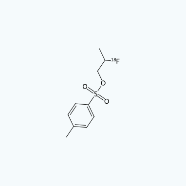 Cc1ccc(S(=O)(=O)OCC(C)[18F])cc1